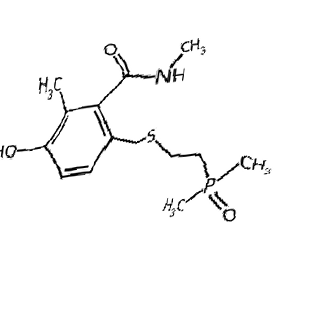 CNC(=O)c1c(SCCP(C)(C)=O)ccc(O)c1C